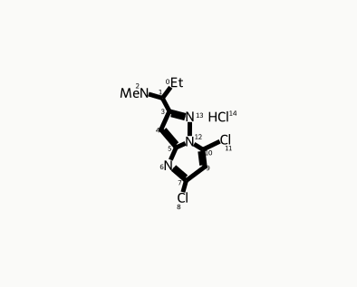 CCC(NC)c1cc2nc(Cl)cc(Cl)n2n1.Cl